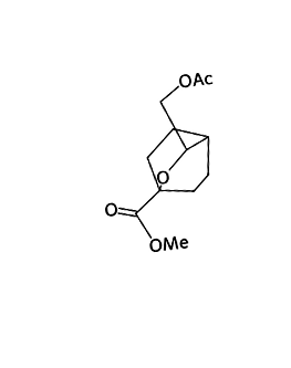 COC(=O)C12CCC(CC1)C(COC(C)=O)O2